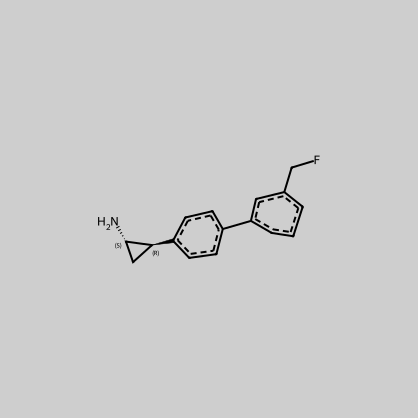 N[C@H]1C[C@@H]1c1ccc(-c2cccc(CF)c2)cc1